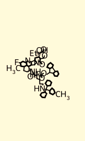 CC[C@@]1(O)C(=O)OCc2c1cc1n(c2=O)Cc2c-1nc1cc(F)c(C)c3c1c2[C@@H](NC(=O)[C@H](CCCCNC(c1ccccc1)(c1ccccc1)c1ccc(C)cc1)NC(=O)OCC1c2ccccc2-c2ccccc21)CC3